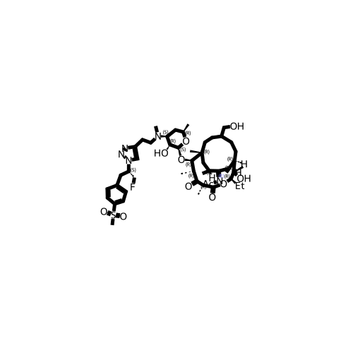 CC[C@H]1OC(=O)[C@H](C)C(=O)[C@H](C)[C@@H](O[C@@H]2O[C@H](C)C[C@H](N(C)CCc3cn([C@H](CF)Cc4ccc(S(C)(=O)=O)cc4)nn3)[C@H]2O)[C@]2(C)CCC(CO)CC[C@H]([C@@H](C)/C(=N/C(C)=O)[C@H](C)C2)[C@]1(C)O